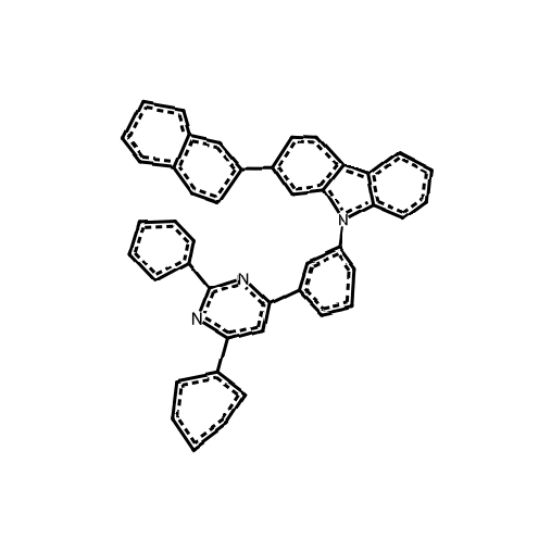 c1ccc(-c2cc(-c3cccc(-n4c5ccccc5c5ccc(-c6ccc7ccccc7c6)cc54)c3)nc(-c3ccccc3)n2)cc1